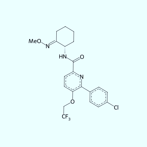 CO/N=C1\CCCC[C@@H]1NC(=O)c1ccc(OCC(F)(F)F)c(-c2ccc(Cl)cc2)n1